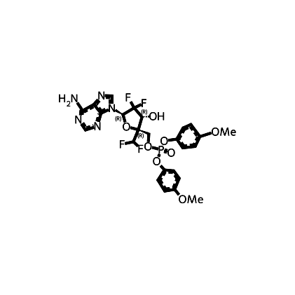 COc1ccc(OP(=O)(OC[C@@]2(C(F)F)O[C@@H](n3cnc4c(N)ncnc43)C(F)(F)[C@@H]2O)Oc2ccc(OC)cc2)cc1